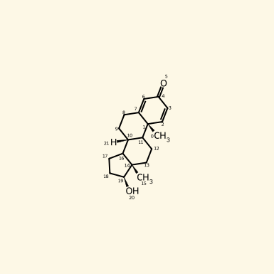 C[C@]12C=CC(=O)C=C1CC[C@@H]1C2CC[C@@]2(C)C1CC[C@@H]2O